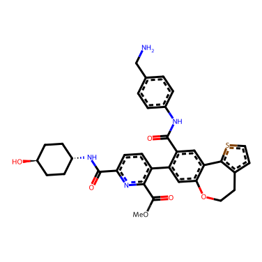 COC(=O)c1nc(C(=O)N[C@H]2CC[C@H](O)CC2)ccc1-c1cc2c(cc1C(=O)Nc1ccc(CN)cc1)-c1sccc1CCO2